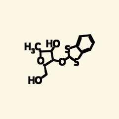 C[C@@H]1O[C@H](CO)C(OC2Sc3ccccc3S2)C1O